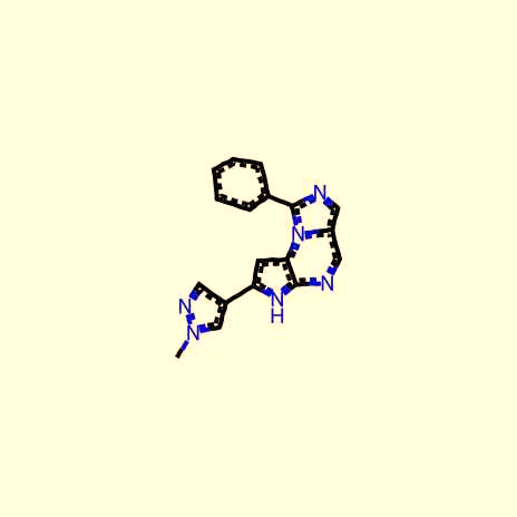 Cn1cc(-c2cc3c(ncc4cnc(-c5ccccc5)n43)[nH]2)cn1